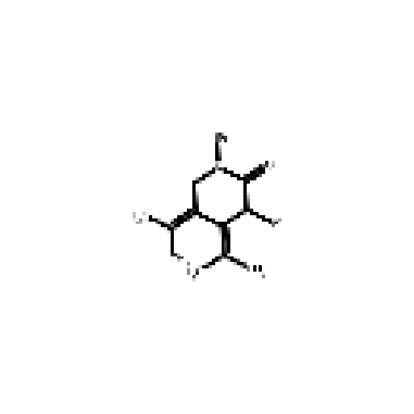 CC(C)=C1CN(C(C)C)C(=O)C(C(C)C)C1=C(C)C